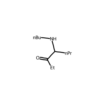 CCCCNC(CCC)C(=O)CC